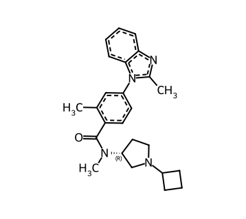 Cc1cc(-n2c(C)nc3ccccc32)ccc1C(=O)N(C)[C@@H]1CCN(C2CCC2)C1